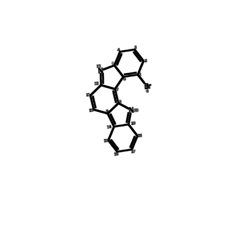 Brc1cccc2c1-c1c3c(ccc1=N2)=c1ccccc1=N3